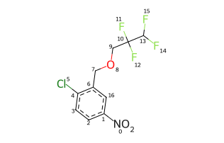 O=[N+]([O-])c1ccc(Cl)c(COCC(F)(F)C(F)F)c1